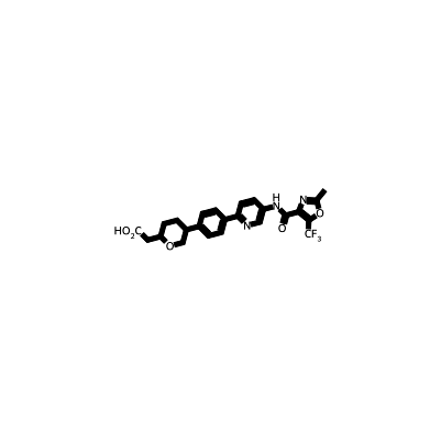 Cc1nc(C(=O)Nc2ccc(-c3ccc(C4CCC(CC(=O)O)OC4)cc3)nc2)c(C(F)(F)F)o1